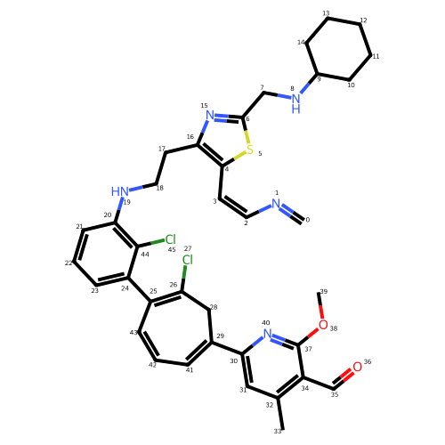 C=N/C=C\c1sc(CNC2CCCCC2)nc1CCNc1cccc(C2=C(Cl)CC(c3cc(C)c(C=O)c(OC)n3)=CC=C2)c1Cl